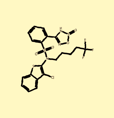 O=S1NC(c2ccccc2S(=O)(=O)N(CCCCC(F)(F)F)c2sc3ccccc3c2Cl)=NO1